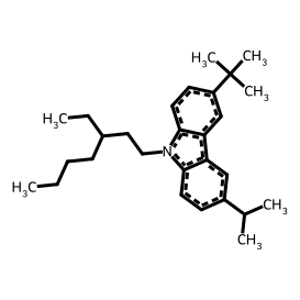 CCCCC(CC)CCn1c2ccc(C(C)C)cc2c2cc(C(C)(C)C)ccc21